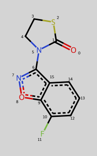 O=C1SCCN1c1noc2c(F)cccc12